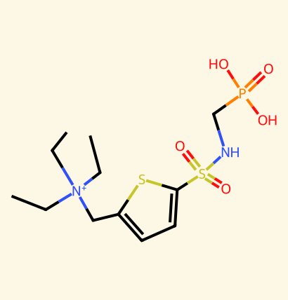 CC[N+](CC)(CC)Cc1ccc(S(=O)(=O)NCP(=O)(O)O)s1